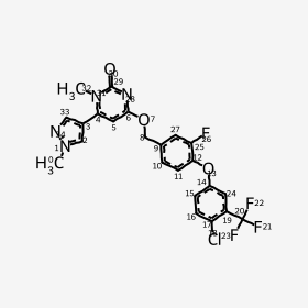 Cn1cc(-c2cc(OCc3ccc(Oc4ccc(Cl)c(C(F)(F)F)c4)c(F)c3)nc(=O)n2C)cn1